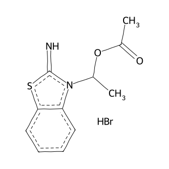 Br.CC(=O)OC(C)n1c(=N)sc2ccccc21